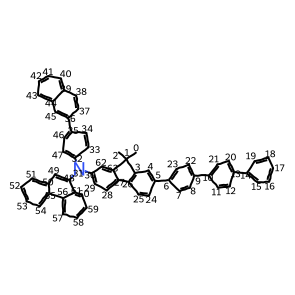 CC1(C)c2cc(-c3ccc(-c4ccc(-c5ccccc5)cc4)cc3)ccc2-c2ccc(N(c3ccc(-c4ccc5ccccc5c4)cc3)c3cc4ccccc4c4ccccc34)cc21